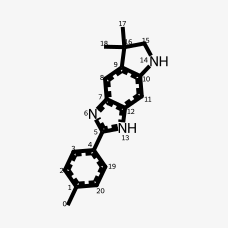 Cc1ccc(-c2nc3cc4c(cc3[nH]2)NCC4(C)C)cc1